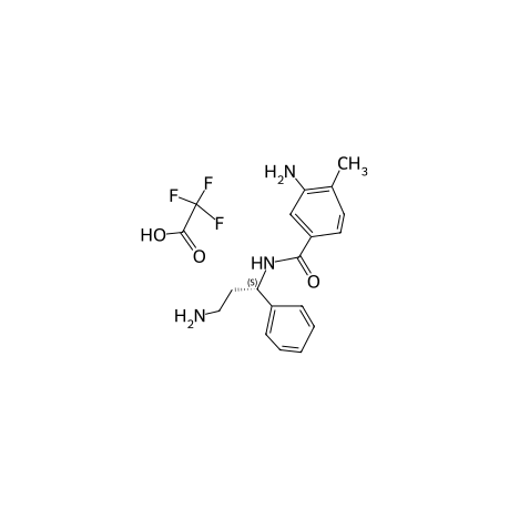 Cc1ccc(C(=O)N[C@@H](CCN)c2ccccc2)cc1N.O=C(O)C(F)(F)F